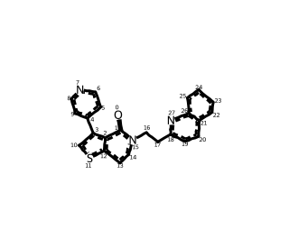 O=c1c2c(-c3ccncc3)csc2ccn1CCc1ccc2ccccc2n1